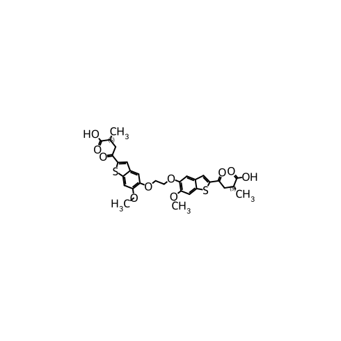 COc1cc2sc(C(=O)C[C@H](C)C(=O)O)cc2cc1OCCOc1cc2cc(C(=O)C[C@H](C)C(=O)O)sc2cc1OC